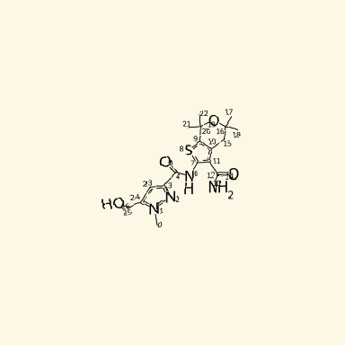 Cn1nc(C(=O)Nc2sc3c(c2C(N)=O)CC(C)(C)OC3(C)C)cc1CO